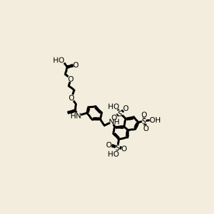 C=C(COCCOCC(=O)O)Nc1cccc(CNc2cc(S(=O)(=O)O)cc3cc(S(=O)(=O)O)cc(S(=O)(=O)O)c23)c1